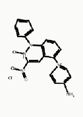 Nc1cc[n+](-c2cccc3c2C=C([N+](=O)[O-])[NH+]([O-])N3c2ccccc2)cc1.[Cl-]